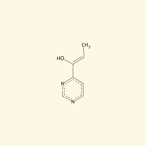 CC=C(O)c1ccncn1